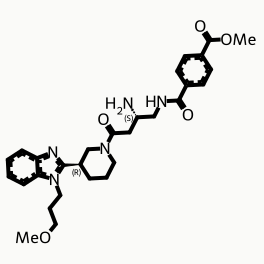 COCCCn1c([C@@H]2CCCN(C(=O)C[C@H](N)CNC(=O)c3ccc(C(=O)OC)cc3)C2)nc2ccccc21